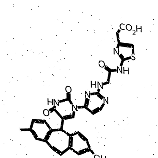 Cc1ccc2c(c1)C=Cc1cc(O)ccc1C2c1cn(-c2ccnc(NCC(=O)Nc3nc(CC(=O)O)cs3)n2)c(=O)[nH]c1=O